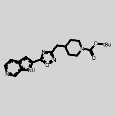 CC(C)(C)OC(=O)N1CCC(Cc2noc(-c3cc4ccncc4[nH]3)n2)CC1